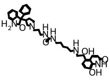 NC(=O)C(c1ccccc1)(c1ccccc1)C1CCN(CCCNC(=O)NCCCCCNCC(O)c2ccc(O)c3[nH]c(=O)ccc23)C1